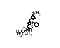 COc1cccc(Cc2cc3cc(NC(=O)C(C)(C)C)cnc3n2CC2CCCCC2)c1